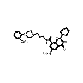 COc1ccccc1N1CCN(CCCNC(=O)c2cc(NC(C)=O)cc3c(=O)c(C)c(-c4ccccc4)oc23)CC1